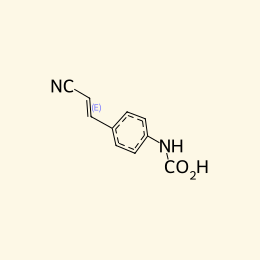 N#C/C=C/c1ccc(NC(=O)O)cc1